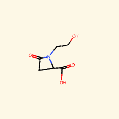 O=C(O)C1CC(=O)N1CCO